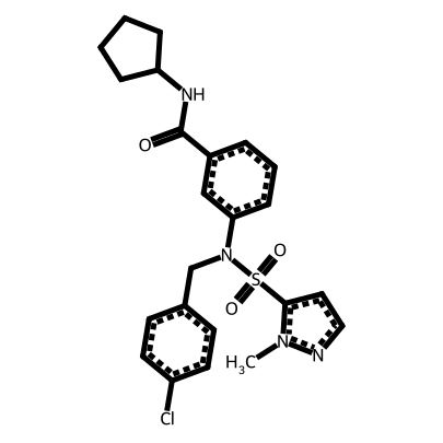 Cn1nccc1S(=O)(=O)N(Cc1ccc(Cl)cc1)c1cccc(C(=O)NC2CCCC2)c1